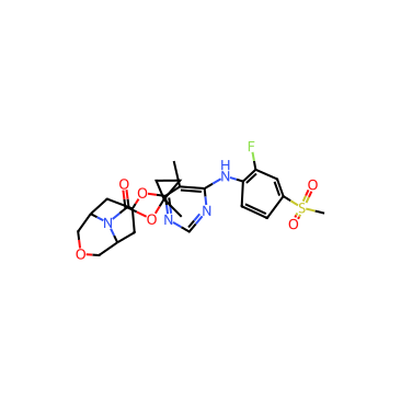 Cc1c(Nc2ccc(S(C)(=O)=O)cc2F)ncnc1OC1CC2COCC(C1)N2C(=O)OC1(C)CC1